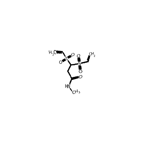 C=CS(=O)(=O)C(CC(=O)NC)S(=O)(=O)C=C